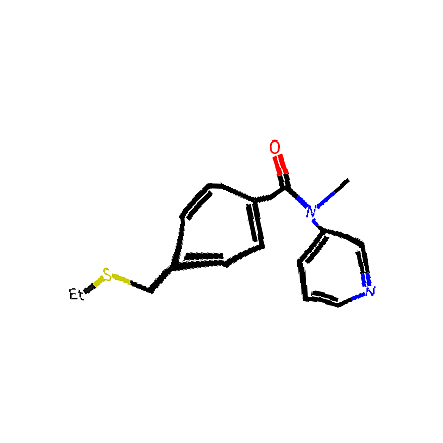 CCSCc1ccc(C(=O)N(C)c2cccnc2)cc1